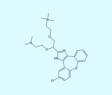 CN(C)CCOC(COCC[Si](C)(C)C)c1nc2c([nH]1)-c1cc(Cl)ccc1Oc1ccccc1-2